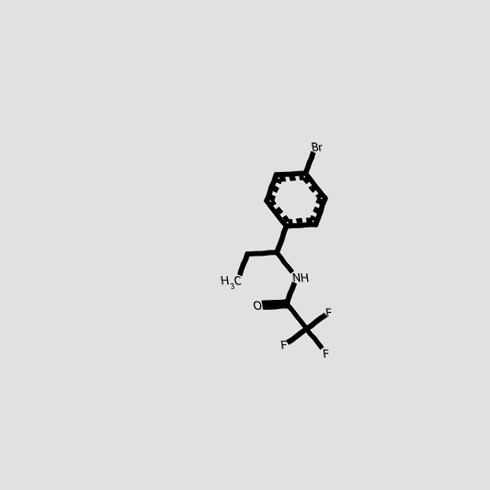 CCC(NC(=O)C(F)(F)F)c1ccc(Br)cc1